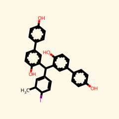 CC1C=C(C(c2cc(-c3ccc(O)cc3)ccc2O)c2cc(-c3ccc(O)cc3)ccc2O)C=CC1I